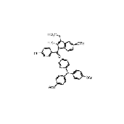 CC(=O)Oc1ccc(C(c2ccc(OC(C)=O)cc2)c2ccccn2)cc1.COc1ccc2c(c1)c(CC(=O)O)c(C)n2C(=O)c1ccc(Cl)cc1